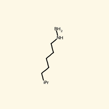 BNCCCCCC(C)C